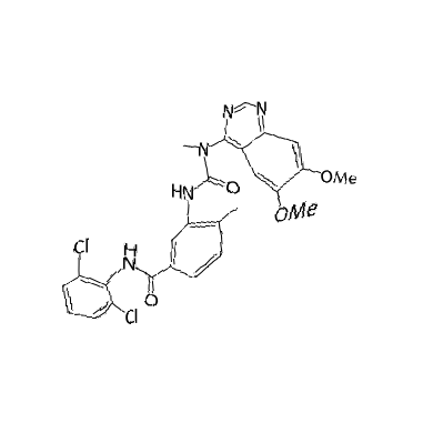 COc1cc2ncnc(N(C)C(=O)Nc3cc(C(=O)Nc4c(Cl)cccc4Cl)ccc3C)c2cc1OC